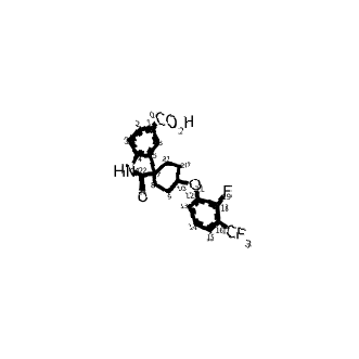 O=C(O)c1ccc2c(c1)C1(CCC(Oc3cccc(C(F)(F)F)c3F)CC1)C(=O)N2